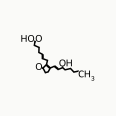 CCCCCC(O)C=CC1=C(CC=CCCCC(=O)O)C(=O)CC1